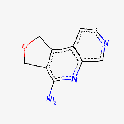 Nc1nc2cn[c]cc2c2c1COC2